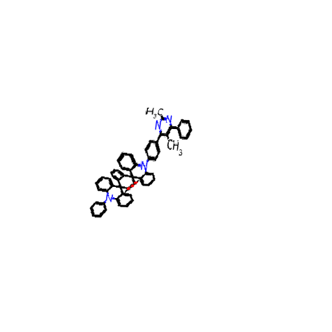 Cc1nc(-c2ccccc2)c(C)c(-c2ccc(N3c4ccccc4C4(c5ccccc53)c3ccccc3C3(c5ccccc5N(c5ccccc5)c5ccccc53)c3ccccc34)cc2)n1